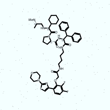 CN[C@@H](C)CN[C@H](C(=O)N1CCC[C@H]1C(=O)N[C@H](C(=O)NCCCCNC(=O)COc1c(-c2csc(N3CCOCC3)n2)ccc(F)c1F)C(c1ccccc1)c1ccccc1)C1CCCCC1